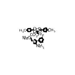 COCCN1C[C@@H](N)[C@H](c2cccc(F)c2)C1.Cc1ccc(C(=O)OC(CC(=O)O)(OC(=O)c2ccc(C)cc2)C(=O)O)cc1